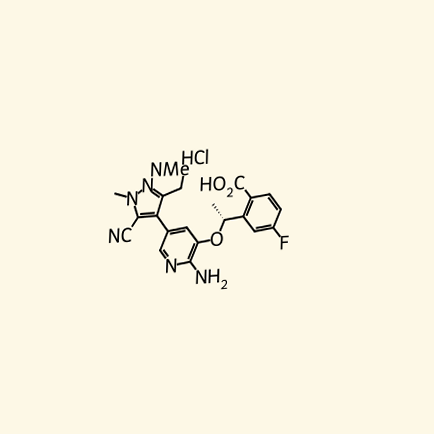 CNCc1nn(C)c(C#N)c1-c1cnc(N)c(O[C@H](C)c2cc(F)ccc2C(=O)O)c1.Cl